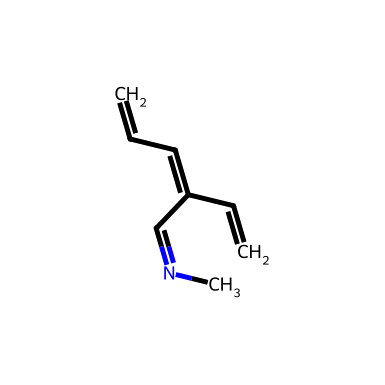 C=C/C=C(C=C)\C=N/C